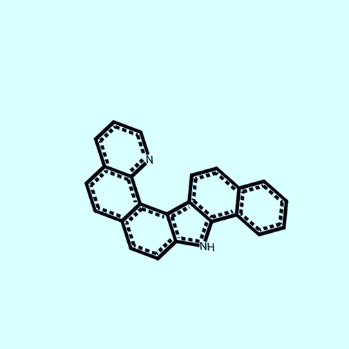 c1ccc2c(c1)ccc1c2[nH]c2ccc3ccc4cccnc4c3c21